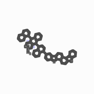 C/C=c1/c(-c2cccc3ccccc23)c2ccccc2c(-c2ccc(-c3ccc4sc5c(ccc6c5ccc5oc7ccccc7c56)c4c3)c3ccccc23)/c1=C/C